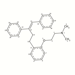 CN(C)CCOc1ccccc1CC/C(=C\c1ccccc1)c1ccccc1